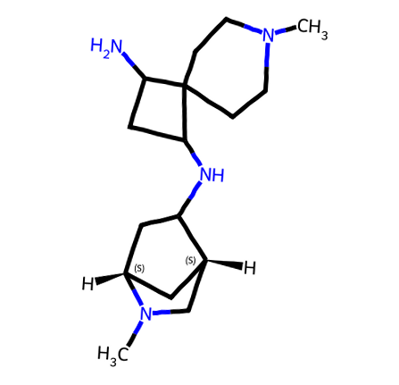 CN1CCC2(CC1)C(N)CC2NC1C[C@@H]2C[C@H]1CN2C